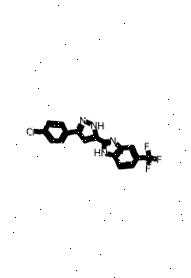 FC(F)(F)c1ccc2[nH]c(-c3cc(-c4ccc(Cl)cc4)n[nH]3)nc2c1